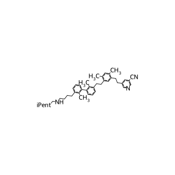 CCCC(C)CNCCCCc1cccc(-c2cccc(CCc3cc(CCc4cncc(C#N)c4)c(C)cc3C)c2C)c1C